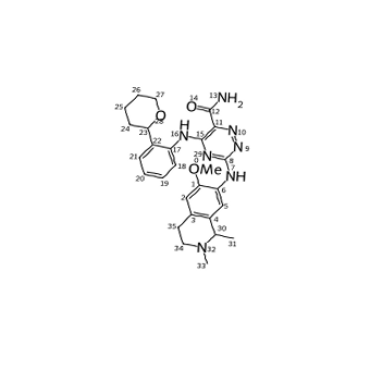 COc1cc2c(cc1Nc1nnc(C(N)=O)c(Nc3ccccc3C3CCCCO3)n1)C(C)N(C)CC2